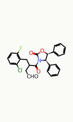 O=CCC(Cc1c(F)cccc1Cl)C(=O)N1C(=O)O[C@@H](c2ccccc2)[C@H]1c1ccccc1